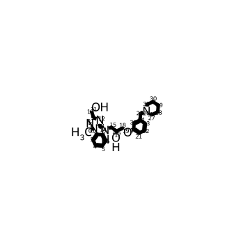 C[N+]1(c2ccccc2)N=C(CO)N=C1NCC(O)COc1cccc(CN2CCCCC2)c1